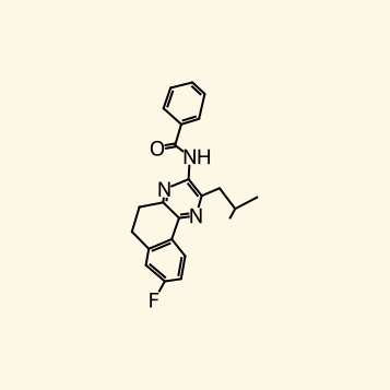 CC(C)Cc1nc2c(nc1NC(=O)c1ccccc1)CCc1cc(F)ccc1-2